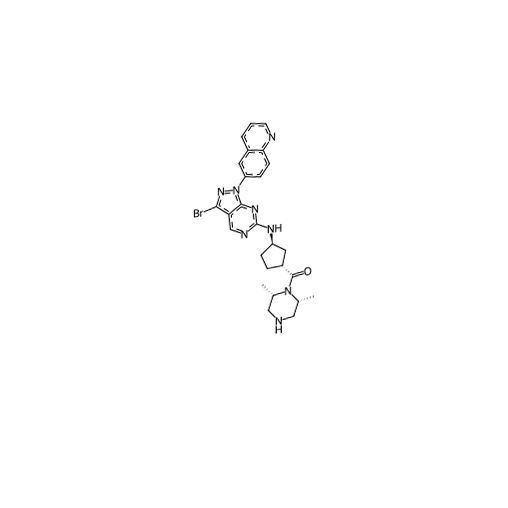 C[C@@H]1CNC[C@H](C)N1C(=O)[C@@H]1CC[C@@H](Nc2ncc3c(Br)nn(-c4ccc5ncccc5c4)c3n2)C1